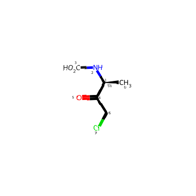 C[C@H](NC(=O)O)C(=O)CCl